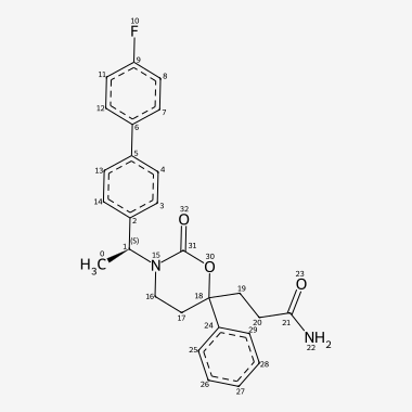 C[C@@H](c1ccc(-c2ccc(F)cc2)cc1)N1CCC(CCC(N)=O)(c2ccccc2)OC1=O